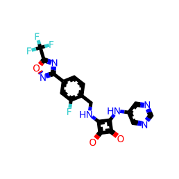 O=c1c(NCc2ccc(-c3noc(C(F)(F)F)n3)cc2F)c(Nc2cncnc2)c1=O